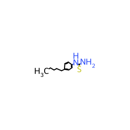 CCCCCc1ccc(NC(N)=S)cc1